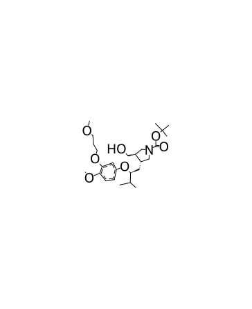 COCCCOc1cc(O[C@@H](C[C@H]2CN(C(=O)OC(C)(C)C)C[C@@H]2CO)C(C)C)ccc1OC